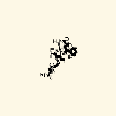 Cc1c(NC(O)c2cc(C(N)=O)nc3ccccc23)c(C(F)(F)F)nn1Cc1nc(C(=O)O)co1